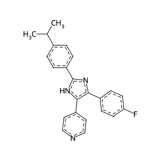 CC(C)c1ccc(-c2nc(-c3ccc(F)cc3)c(-c3ccncc3)[nH]2)cc1